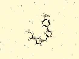 CCCCCCCCCCc1ccc(-c2noc(C[C@H]3CCN(C(=O)OC(C)(C)C)C3)n2)cc1